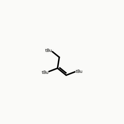 CC(C)(C)C=C(CC(C)(C)C)C(C)(C)C